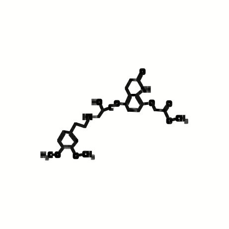 COC(=O)COc1ccc(OCC(O)CNCCc2ccc(OC)c(OC)c2)c2c1NC(=O)CC2